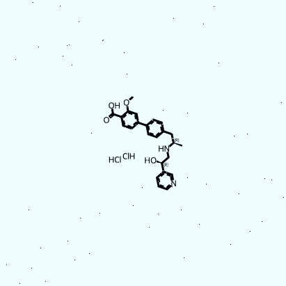 COc1cc(-c2ccc(C[C@@H](C)NC[C@H](O)c3cccnc3)cc2)ccc1C(=O)O.Cl.Cl